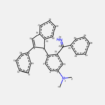 CN(C)c1ccc(C2C(c3ccccc3)=Cc3ccccc32)c(C(=N)c2ccccc2)c1